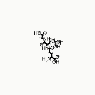 NC(CCC(=O)NC(CS)C(=O)NCC(=O)O)C(=O)O.O=[PH](O)O